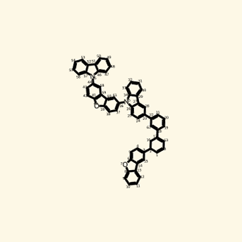 C1=CC(c2ccc3oc4ccccc4c3c2)CC(c2cccc(-c3ccc4c(c3)c3ccccc3n4-c3ccc4oc5ccc(-n6c7ccccc7c7ccccc76)cc5c4c3)c2)=C1